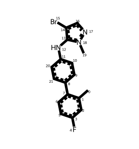 Cc1cc(F)ccc1-c1ccc(Nc2c(Br)cnn2C)cc1